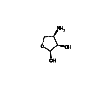 N[C@@H]1CO[C@H](O)[C@@H]1O